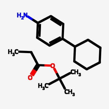 CCC(=O)OC(C)(C)C.Nc1ccc(C2CCCCC2)cc1